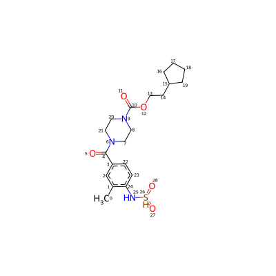 Cc1cc(C(=O)N2CCN(C(=O)OCCC3CCCC3)CC2)ccc1N[SH](=O)=O